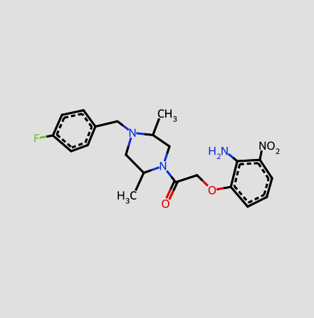 CC1CN(C(=O)COc2cccc([N+](=O)[O-])c2N)C(C)CN1Cc1ccc(F)cc1